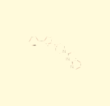 O=C(Nc1ncccn1)N1CCN(c2nc(-c3ccccc3)cs2)CC1